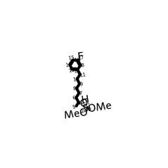 CO[SiH](OC)OC(C)CCCCCCc1cccc(F)c1